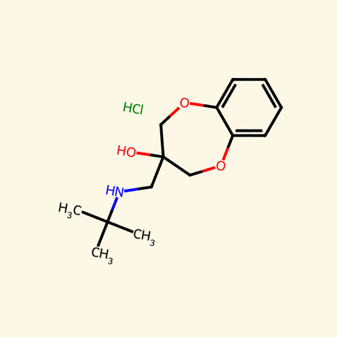 CC(C)(C)NCC1(O)COc2ccccc2OC1.Cl